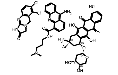 CC(=O)[C@]1(N)Cc2c(O)c3c(c(O)c2[C@@H](O[C@H]2C[C@H](O)[C@H](O)CO2)C1)C(=O)c1ccccc1C3=O.CN(C)CCCNC(=O)c1cccc2c(N)c3ccccc3nc12.Cl.O=C1CN2Cc3c(ccc(Cl)c3Cl)N=C2N1